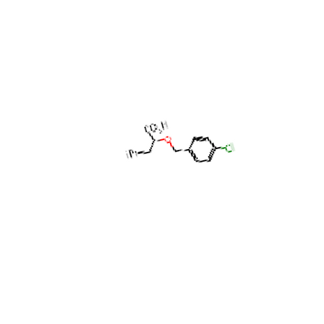 CC(C)CC(OCc1ccc(Cl)cc1)C(=O)O